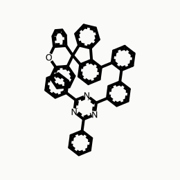 c1ccc(-c2nc(-c3ccccc3)nc(-c3cccc(-c4ccccc4-c4cccc5c4-c4ccccc4C54c5ccccc5Oc5ccccc54)c3)n2)cc1